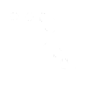 N=C1C=CCC/C1=C1\CCCC\C1=C/C1C=CC[C@@H](CC2=CC(C(N)/C=C\C/C=C\C3C=CC(c4ccc(-c5ccccc5)cc4)=NC3)CCC2)N1